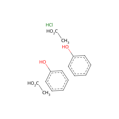 CC(=O)O.CC(=O)O.Cl.Oc1ccccc1.Oc1ccccc1